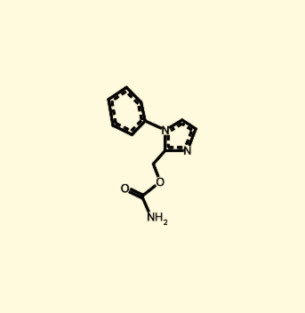 NC(=O)OCc1nccn1-c1ccccc1